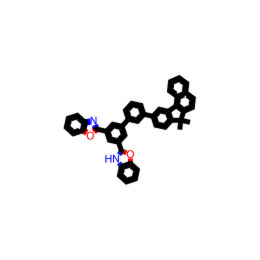 CC1(C)c2ccc(-c3cccc(-c4cc(-c5nc6ccccc6o5)cc(C5Nc6ccccc6O5)c4)c3)cc2-c2c1ccc1ccccc21